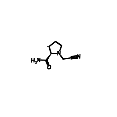 N#CCN1CC[CH][C@@H]1C(N)=O